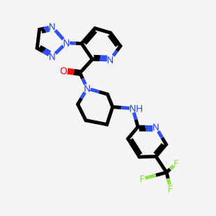 O=C(c1ncccc1-n1nccn1)N1CCCC(Nc2ccc(C(F)(F)F)cn2)C1